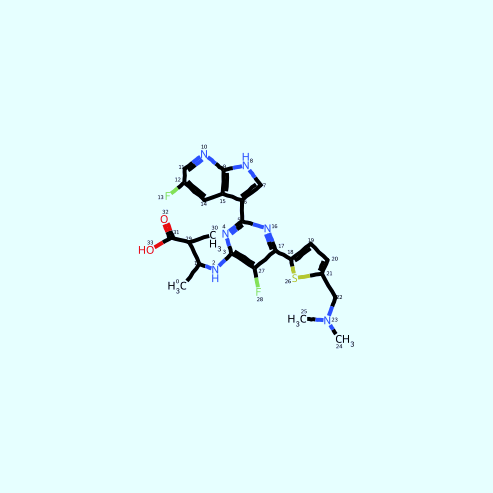 CC(Nc1nc(-c2c[nH]c3ncc(F)cc23)nc(-c2ccc(CN(C)C)s2)c1F)C(C)C(=O)O